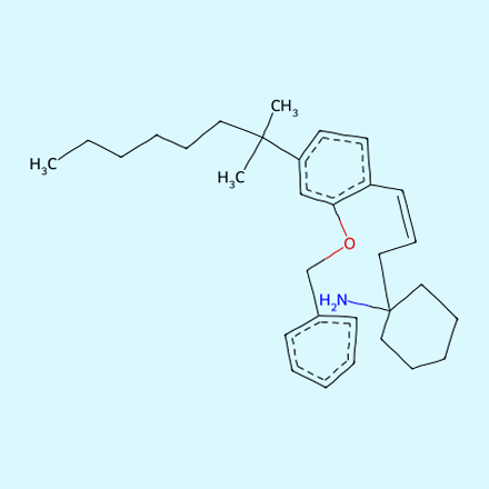 CCCCCCC(C)(C)c1ccc(/C=C\CC2(N)CCCCC2)c(OCc2ccccc2)c1